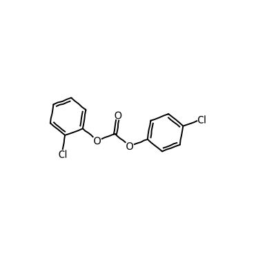 O=C(Oc1ccc(Cl)cc1)Oc1ccccc1Cl